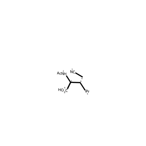 CC#N.CC(=O)NC(CC(C)C)C(=O)O